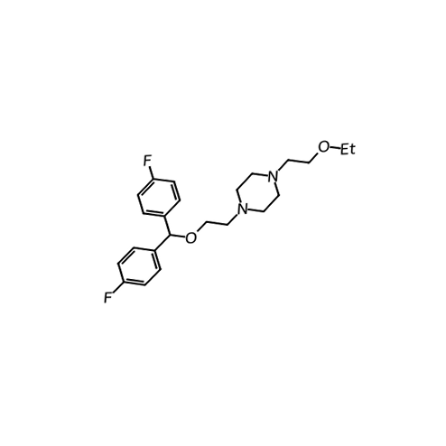 CCOCCN1CCN(CCOC(c2ccc(F)cc2)c2ccc(F)cc2)CC1